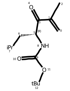 C=C(C)C(=O)[C@@H](CC(C)C)NC(=O)OC(C)(C)C